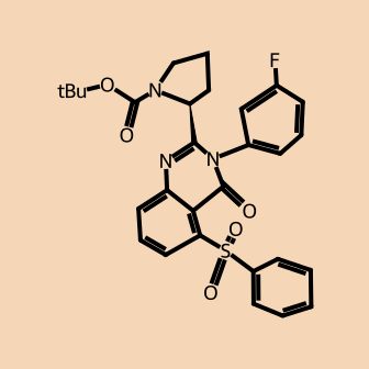 CC(C)(C)OC(=O)N1CCC[C@H]1c1nc2cccc(S(=O)(=O)c3ccccc3)c2c(=O)n1-c1cccc(F)c1